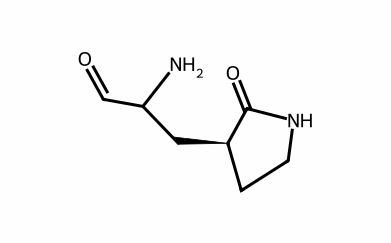 NC(C=O)C[C@@H]1CCNC1=O